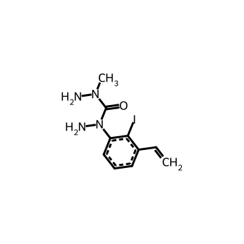 C=Cc1cccc(N(N)C(=O)N(C)N)c1I